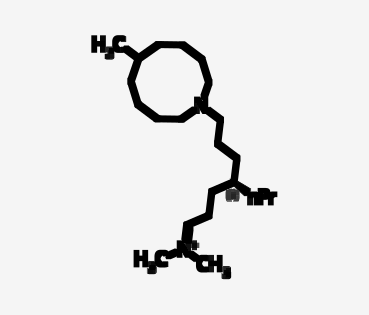 CCC[C@@H](CCC=[N+](C)C)CCCN1CCCCC(C)CCCC1